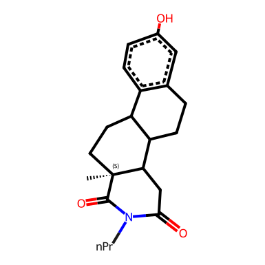 CCCN1C(=O)CC2C3CCc4cc(O)ccc4C3CC[C@]2(C)C1=O